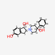 Oc1ccc2c(c1)C[C@@H](N1CCC(O)(c3ccccc3)CC1)[C@H]2O